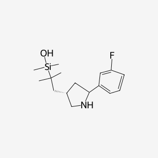 CC(C)(C[C@H]1CNC(c2cccc(F)c2)C1)[Si](C)(C)O